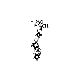 CC(=O)N[C@@H](C)CO[C@H]1C[C@H](COc2ccc3nc(OC4CCCC4)sc3n2)C1